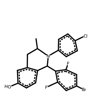 CC1Cc2cc(O)ccc2C(c2c(F)cc(Br)cc2F)N1c1ccc(Cl)cc1